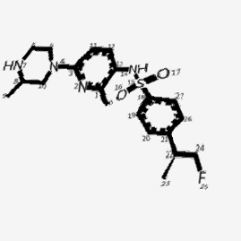 Cc1nc(N2CCNC(C)C2)ccc1NS(=O)(=O)c1ccc([C@H](C)CF)cc1